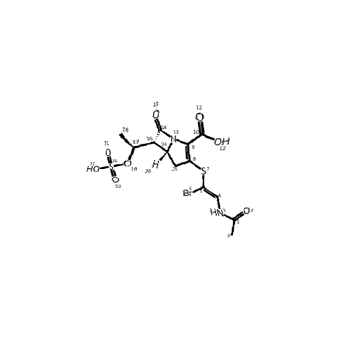 CC(=O)NC=C(Br)SC1=C(C(=O)O)N2C(=O)[C@@H]([C@H](C)OS(=O)(=O)O)[C@H]2C1